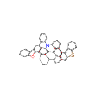 c1cc(-c2cccc3sc4ccccc4c23)cc(N(c2ccccc2-c2ccc3oc4ccccc4c3c2)c2ccccc2-c2cccc3cccc(C4CCCCC4)c23)c1